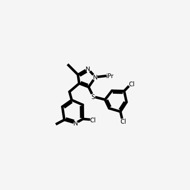 Cc1cc(Cc2c(C)nn(C(C)C)c2Sc2cc(Cl)cc(Cl)c2)cc(Cl)n1